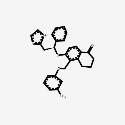 Cc1cccc(OCc2c(O[C@@H](Cc3ncc[nH]3)c3ccccc3)ccc3c2CCCC3=O)c1